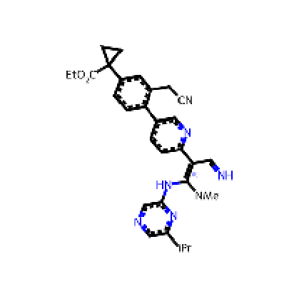 CCOC(=O)C1(c2ccc(-c3ccc(/C(C=N)=C(/NC)Nc4cncc(C(C)C)n4)nc3)c(CC#N)c2)CC1